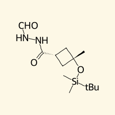 CC(C)(C)[Si](C)(C)O[C@]1(C)C[C@H](C(=O)NNC=O)C1